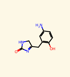 Nc1ccc(O)c(CC2=NC(=O)NC2)c1